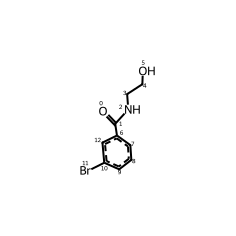 O=C(NCCO)c1cccc(Br)c1